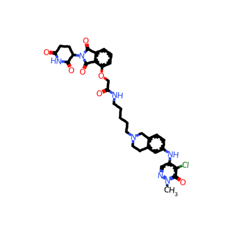 Cn1ncc(Nc2ccc3c(c2)CCN(CCCCCNC(=O)COc2cccc4c2C(=O)N(C2CCC(=O)NC2=O)C4=O)C3)c(Cl)c1=O